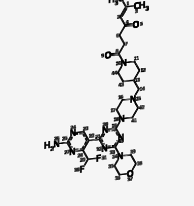 CC(C)=CC(=O)CCC(=O)N1CCC(CN2CCN(c3nc(-c4cnc(N)nc4C(F)F)nc(N4CCOCC4)n3)CC2)CC1